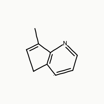 CC1=CCc2[c]ccnc21